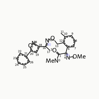 CNC(=O)/C(=N/OC)c1cccc(C)c1CO/N=C(\C)c1cc(-c2ccccc2)on1